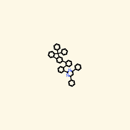 c1ccc(-c2cc(-c3ccccc3)nc(-c3ccccc3-c3ccccc3-c3ccc4c(c3)C(c3ccccc3)(c3ccccc3)c3ccccc3-4)n2)cc1